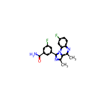 Cc1nc(-c2cc(F)cc(C(N)=O)c2)n2c1c(C)nc1ccc(F)cc12